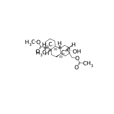 COC(=O)[C@]1(C)CCC[C@@]2(C)[C@@H]3C[C@@H]4CC[C@@]3(CC[C@@H]21)C[C@]4(O)COC(C)=O